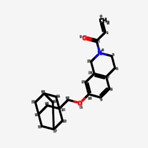 C=CC(=O)N1CCc2ccc(OCC34CC5CC(CC(C5)C3)C4)cc2C1